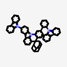 c1ccc(-n2c3ccccc3c3ccccc32)c(-c2ccc3c(c2)-n2c4ccc(-n5c6ccccc6c6ccccc65)cc4c4cccc(c42)C32C3CC4CC(C3)CC2C4)c1